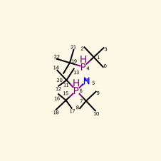 CC(C)(C)[PH](=N[PH](C(C)(C)C)(C(C)(C)C)C(C)(C)C)C(C)(C)C